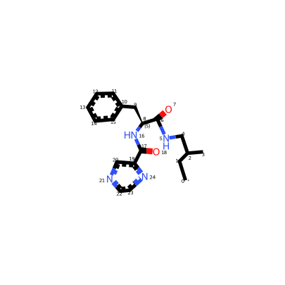 [CH2]CC(C)CNC(=O)[C@H](Cc1ccccc1)NC(=O)c1cnccn1